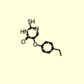 CCc1ccc(Oc2cnc(S)[nH]c2=O)cc1